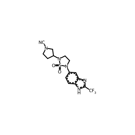 N#CN1CCC(N2CCN(c3ccc4[nH]c(C(F)(F)F)nc4c3)S2(=O)=O)C1